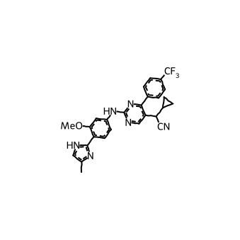 COc1cc(Nc2ncc(C(C#N)C3CC3)c(-c3ccc(C(F)(F)F)cc3)n2)ccc1-c1nc(C)c[nH]1